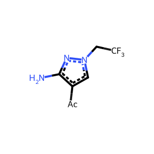 CC(=O)c1cn(CC(F)(F)F)nc1N